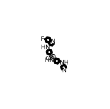 O=S(=O)(Nc1ccc(Nc2ccncc2)cc1)c1ccc(Nc2ccnc3ccc(F)cc23)cc1